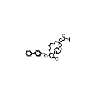 CN(C)C(=O)COC(=O)CC/C=C\CC[C@H]1[C@@H](OCc2ccc(-c3ccccc3)cc2)CC(=O)[C@@H]1N1CCOCC1